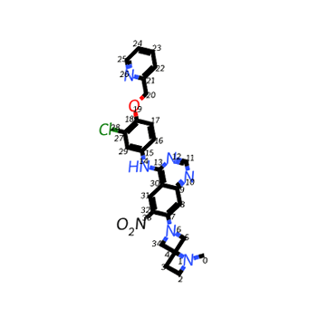 CN1CCC12CN(c1cc3ncnc(Nc4ccc(OCc5ccccn5)c(Cl)c4)c3cc1[N+](=O)[O-])C2